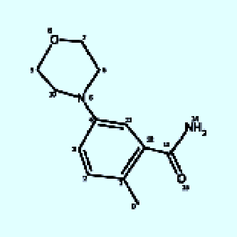 Cc1ccc(N2CCOCC2)cc1C(N)=O